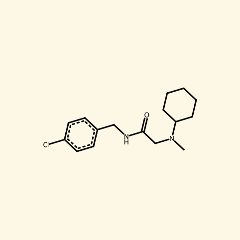 CN(CC(=O)NCc1ccc(Cl)cc1)C1CCCCC1